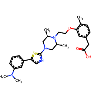 Cc1ccc(CC(=O)O)cc1OCCN1[C@H](C)CN(c2ncc(-c3cccc(N(C)C)c3)s2)C[C@@H]1C